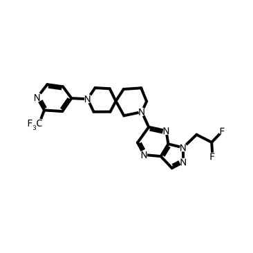 FC(F)Cn1ncc2ncc(N3CCCC4(CCN(c5ccnc(C(F)(F)F)c5)CC4)C3)nc21